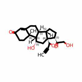 C#CC(O)[C@]12C[C@H](O)[C@H]3[C@@H](CCC4=CC(=O)CC[C@@]43C)[C@@H]1CC[C@@H]2C(=O)CO